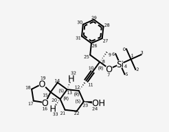 CC(C)(C)[Si](C)(C)O[C@@](C)(C#C[C@H]1[C@@H]2CC3(OCCO3)[C@@H]2CC[C@@H]1O)Cc1ccccc1